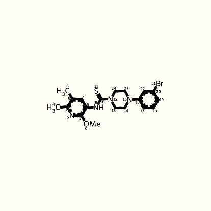 COc1nc(C)c(C)cc1NC(=S)N1CCN(c2cccc(Br)c2)CC1